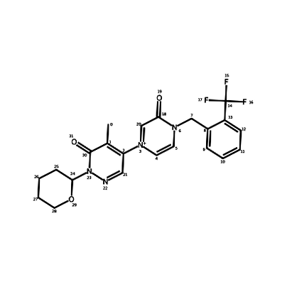 Cc1c(-[n+]2ccn(Cc3ccccc3C(F)(F)F)c(=O)c2)cnn(C2CCCCO2)c1=O